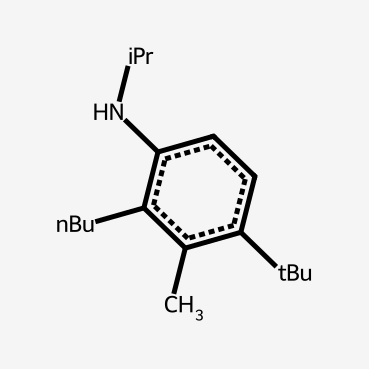 CCCCc1c(NC(C)C)ccc(C(C)(C)C)c1C